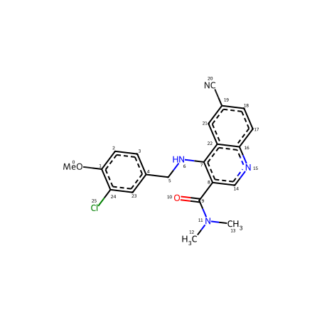 COc1ccc(CNc2c(C(=O)N(C)C)cnc3ccc(C#N)cc23)cc1Cl